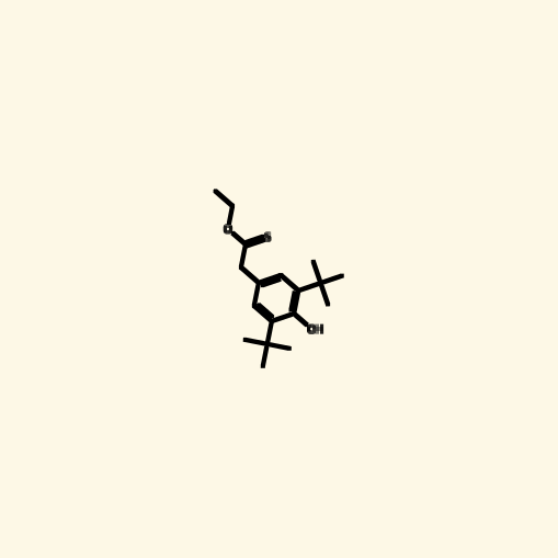 CCOC(=S)Cc1cc(C(C)(C)C)c(O)c(C(C)(C)C)c1